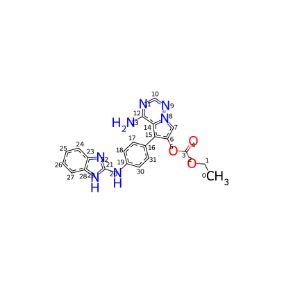 CCOC(=O)Oc1cn2ncnc(N)c2c1-c1ccc(Nc2nc3ccccc3[nH]2)cc1